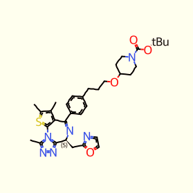 Cc1sc2c(c1C)C(c1ccc(CCCOC3CCN(C(=O)OC(C)(C)C)CC3)cc1)=N[C@@H](Cc1ncco1)c1nnc(C)n1-2